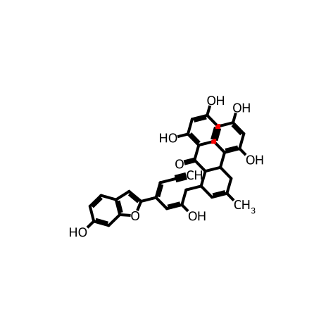 C#C/C=C(\C=C(\O)CC1C=C(C)CC(c2ccc(O)cc2O)C1C(=O)c1ccc(O)cc1O)c1cc2ccc(O)cc2o1